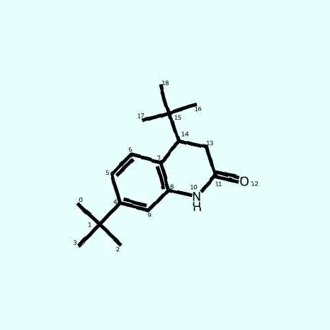 CC(C)(C)c1ccc2c(c1)NC(=O)CC2C(C)(C)C